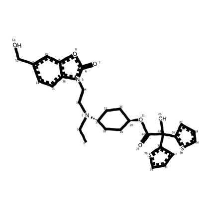 CCN(CCn1c(=O)oc2cc(CO)ccc21)[C@H]1CC[C@H](OC(=O)C(O)(c2cccs2)c2cccs2)CC1